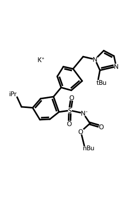 CCCCOC(=O)[N-]S(=O)(=O)c1ccc(CC(C)C)cc1-c1ccc(Cn2ccnc2C(C)(C)C)cc1.[K+]